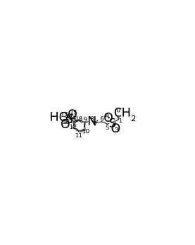 C=CS(=O)(=O)CCC[N]c1cccc(S(=O)(=O)O)c1